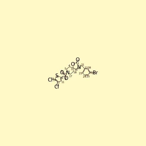 O=C1OC2(CCN(S(=O)(=O)c3cc(Cl)c(Cl)s3)CC2)CN1Cc1cccc(Br)c1